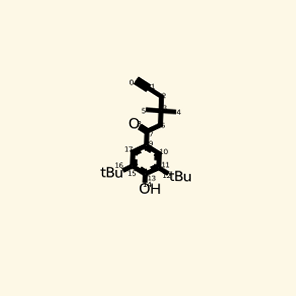 C#CCC(C)(C)CC(=O)c1cc(C(C)(C)C)c(O)c(C(C)(C)C)c1